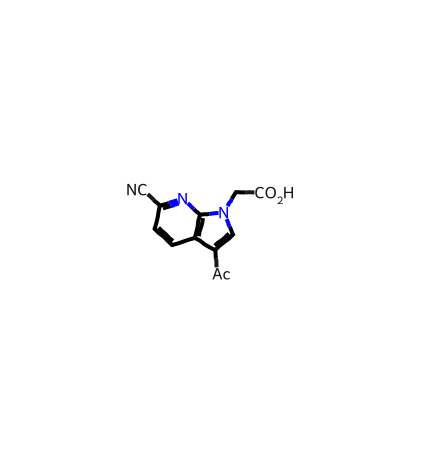 CC(=O)c1cn(CC(=O)O)c2nc(C#N)ccc12